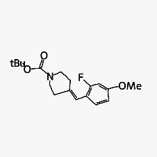 COc1ccc(C=C2CCN(C(=O)OC(C)(C)C)CC2)c(F)c1